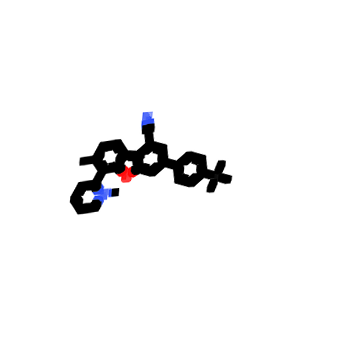 Cc1ccc2c(oc3cc(-c4ccc([Si](C)(C)C)cc4)cc(C#N)c32)c1-c1cccc[n+]1C